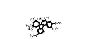 COc1cc2c3c(cc(O)c2cc1SC)C1(CC(C)(C)CC(C)(C)C1)c1cc(SC(F)(F)F)ccc1-3